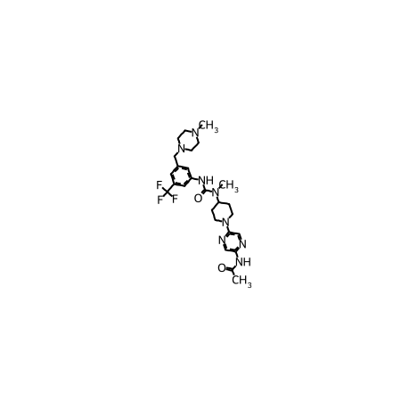 CC(=O)Nc1cnc(N2CCC(N(C)C(=O)Nc3cc(CN4CCN(C)CC4)cc(C(F)(F)F)c3)CC2)cn1